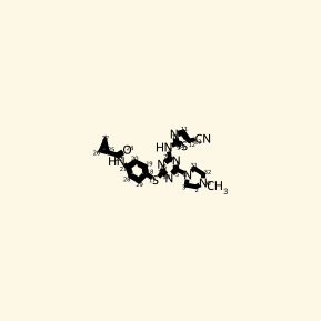 CN1CCN(c2nc(Nc3ncc(C#N)s3)nc(Sc3ccc(NC(=O)C4CC4)cc3)n2)CC1